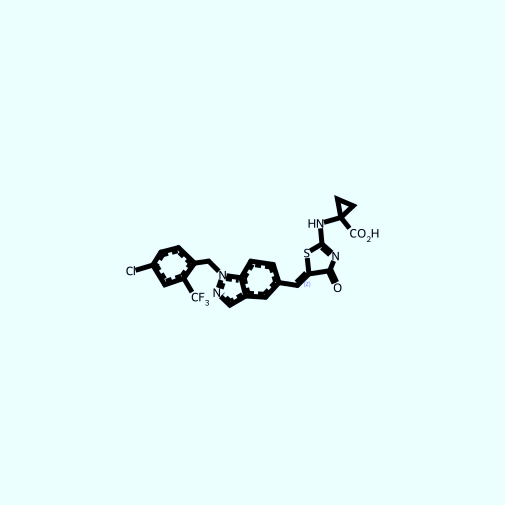 O=C1N=C(NC2(C(=O)O)CC2)S/C1=C\c1ccc2c(cnn2Cc2ccc(Cl)cc2C(F)(F)F)c1